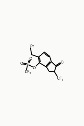 CC(C)Cc1ccc2c(c1OS(=O)(=O)C(F)(F)F)CC(C(F)(F)F)C2=O